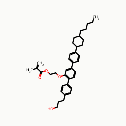 C=C(C)C(=O)OCCOc1cc(-c2ccc(C3CCC(CCCCC)CC3)cc2)ccc1-c1ccc(CCCO)cc1